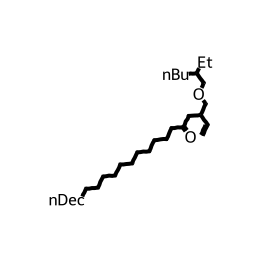 C=CC(COCC(CC)CCCC)CC(=O)CCCCCCCCCCCCCCCCCCCCC